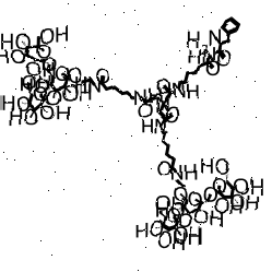 N[C@@H](Cc1ccccc1)C(=O)NC(=O)CCCCCNC(=O)CN(CC(=O)NCCCCCC(=O)NCCO[C@H]1O[C@H](CO[C@H]2OC(CO)[C@@H](O)[C@H](O)[C@@H]2O)[C@@H](O)[C@H](O[C@H]2O[C@H](CO)[C@@H](O)[C@H](O)[C@@H]2O)[C@@H]1O)CC(=O)NCCCCCC(=O)NCCO[C@H]1O[C@H](CO[C@H]2O[C@H](CO)[C@@H](O)[C@H](O)[C@@H]2O)[C@@H](O)C(O[C@H]2O[C@H](CO)[C@@H](O)[C@H](O)[C@@H]2O)[C@@H]1O